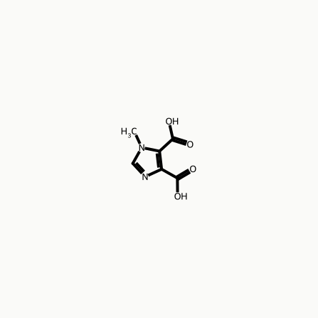 Cn1cnc(C(=O)O)c1C(=O)O